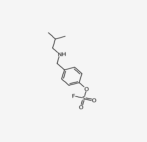 CC(C)CNCc1ccc(OS(=O)(=O)F)cc1